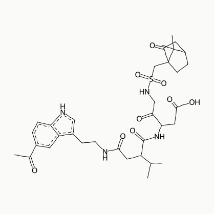 CC(=O)c1ccc2[nH]cc(CCNC(=O)CC(C(=O)NC(CC(=O)O)C(=O)CNS(=O)(=O)CC34CCC(CC3=O)C4(C)C)C(C)C)c2c1